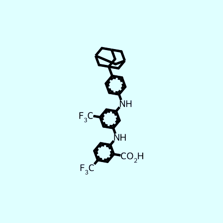 O=C(O)c1cc(C(F)(F)F)ccc1Nc1cc(Nc2ccc(C34CC5CC(CC(C5)C3)C4)cc2)cc(C(F)(F)F)c1